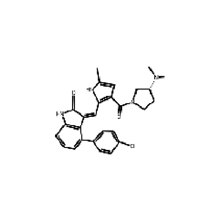 Cc1cc(C(=O)N2CC[C@@H](N(C)C)C2)c(/C=C2\C(=O)Nc3cccc(-c4ccc(Cl)cc4)c32)[nH]1